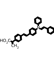 C=C(C(=O)O)c1ccc(C=Cc2ccc(N(/C=C/c3ccccc3)c3ccccc3)cc2)cc1